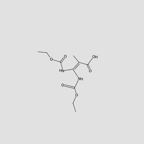 CCOC(=O)NC(NC(=O)OCC)=C(C)C(=O)O